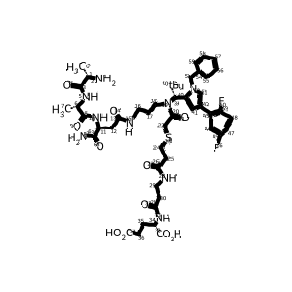 C[C@H](N)C(=O)N[C@@H](C)C(=O)N[C@@H](CC(=O)NCCCN(C(=O)CSCCC(=O)NCCC(=O)N[C@@H](CCC(=O)O)C(=O)O)[C@@H](c1cc(-c2cc(F)ccc2F)cn1Cc1ccccc1)C(C)(C)C)C(N)=O